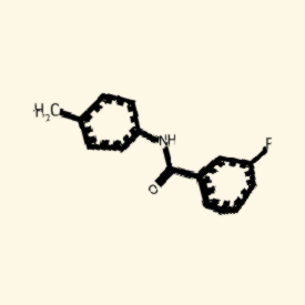 [CH2]c1ccc(NC(=O)c2cccc(F)c2)cc1